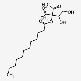 CCCCCCCCCCCC(=O)OC(C(C)=O)(C(C)=O)C(O)CO